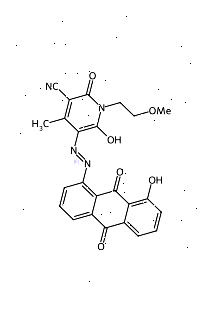 COCCn1c(O)c(/N=N/c2cccc3c2C(=O)c2c(O)cccc2C3=O)c(C)c(C#N)c1=O